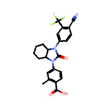 Cc1cc(N2C(=O)N(c3ccc(C#N)c(C(F)(F)F)c3)C3CCCCC32)ccc1C(=O)O